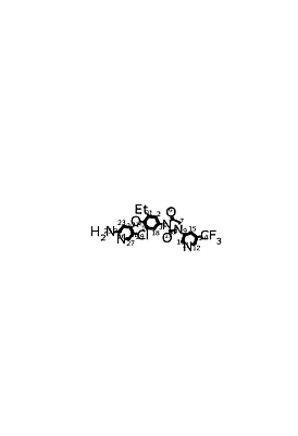 CCc1cc(N2C(=O)CN(c3cncc(C(F)(F)F)c3)C2=O)ccc1Oc1cc(N)ncc1Cl